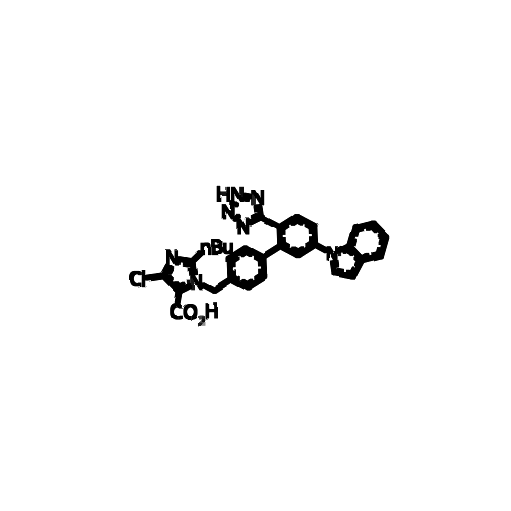 CCCCc1nc(Cl)c(C(=O)O)n1Cc1ccc(-c2cc(-n3ccc4ccccc43)ccc2-c2nn[nH]n2)cc1